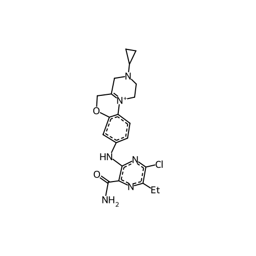 CCc1nc(C(N)=O)c(Nc2ccc3c(c2)OCC2=[N+]3CCN(C3CC3)C2)nc1Cl